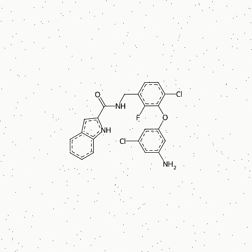 Nc1cc(Cl)cc(Oc2c(Cl)ccc(CNC(=O)c3cc4ccccc4[nH]3)c2F)c1